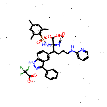 Cc1cc(C)c(S(=O)(=O)N[C@](N=C=O)(C(=O)O)C(CCCNc2ccccn2)c2ccc3[nH]nc(-c4ccccc4)c3c2)c(C)c1.O=C(O)C(F)(F)F